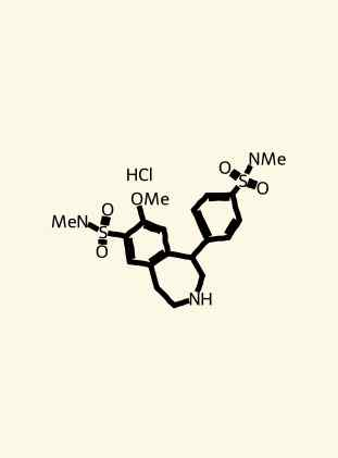 CNS(=O)(=O)c1ccc(C2CNCCc3cc(S(=O)(=O)NC)c(OC)cc32)cc1.Cl